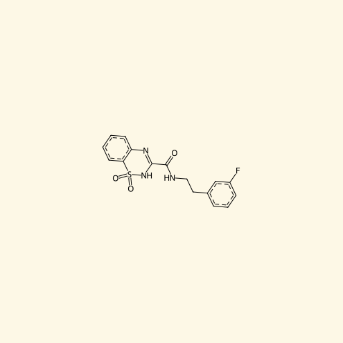 O=C(NCCc1cccc(F)c1)C1=Nc2ccccc2S(=O)(=O)N1